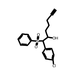 C#CCCCC(O)C(c1ccc(Cl)cc1)S(=O)(=O)c1ccccc1